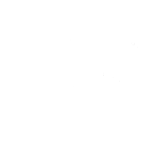 CC(C)(C)OC(C(=O)O)c1sc2ccccc2c1-c1ccccc1